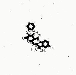 CC1(C)c2cc(F)ccc2-n2c1cc1oc(=O)c(Sc3ccccc3)c(O)c1c2=O